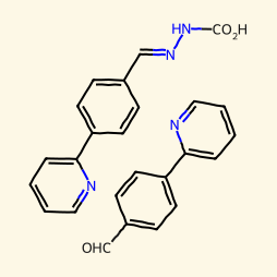 O=C(O)NN=Cc1ccc(-c2ccccn2)cc1.O=Cc1ccc(-c2ccccn2)cc1